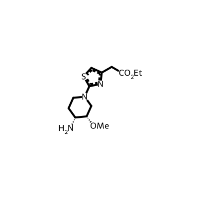 CCOC(=O)Cc1csc(N2CC[C@@H](N)[C@@H](OC)C2)n1